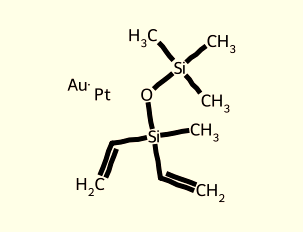 C=C[Si](C)(C=C)O[Si](C)(C)C.[Au].[Pt]